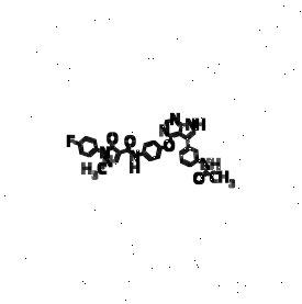 CC(=O)Nc1cccc(-c2c[nH]c3ncnc(Oc4ccc(NC(=O)c5cn(C)n(-c6ccc(F)cc6)c5=O)cc4)c23)c1